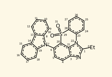 CCc1nc2ccc(-n3c4ccccc4c4ccccc43)c3c2n1-c1ccccc1S3(=O)=O